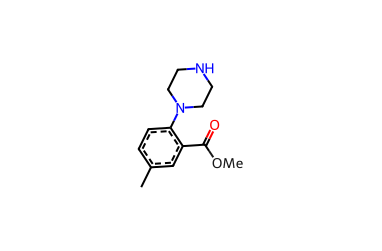 COC(=O)c1cc(C)ccc1N1CCNCC1